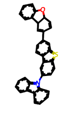 C1=CC2Oc3ccccc3C2C=C1c1ccc2c(c1)sc1ccc(-n3c4ccccc4c4ccccc43)cc12